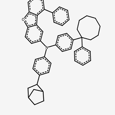 c1ccc(-c2cccc3oc4ccc(N(c5ccc(C6CC7CCC6C7)cc5)c5ccc(C6(c7ccccc7)CCCCCCC6)cc5)cc4c23)cc1